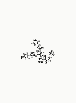 CC(NCC(=O)OC(C)(C)C)C(=O)NC(C(=O)N1CCC2C1C(Cn1cc(-c3ccc(F)cc3)nn1)CN2C(=O)OCc1ccccc1)C(C)(C)C